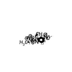 CCN([N+](=O)[O-])S(=O)(=O)c1nc2ccc([N+](=O)[O-])cc2n1CC